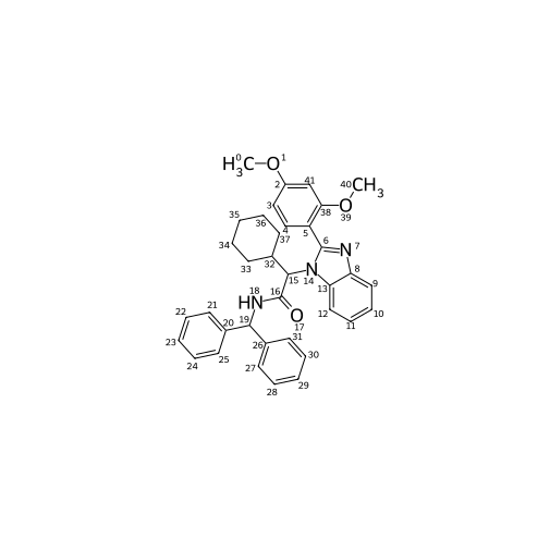 COc1ccc(-c2nc3ccccc3n2C(C(=O)NC(c2ccccc2)c2ccccc2)C2CCCCC2)c(OC)c1